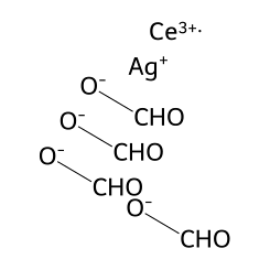 O=C[O-].O=C[O-].O=C[O-].O=C[O-].[Ag+].[Ce+3]